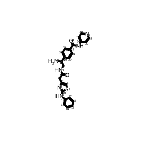 NC(CNC(=O)Cc1csc(Nc2ccccc2)n1)c1ccc(C(=O)Nc2ccncc2)cc1